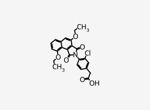 CCOc1cc2cccc(OCC)c2c2c1C(=O)N(c1ccc(CC(=O)O)cc1Cl)C2=O